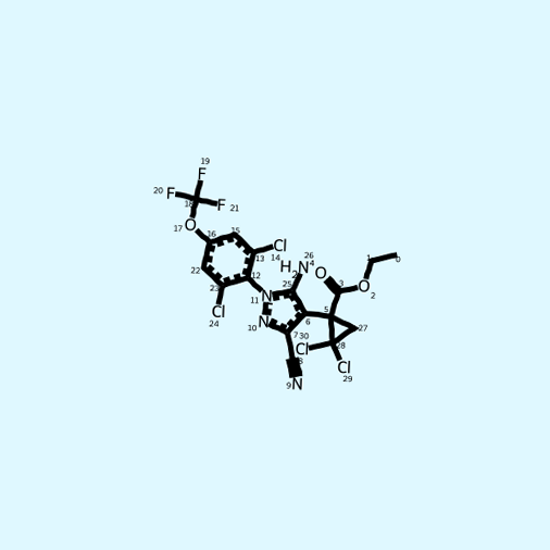 CCOC(=O)C1(c2c(C#N)nn(-c3c(Cl)cc(OC(F)(F)F)cc3Cl)c2N)CC1(Cl)Cl